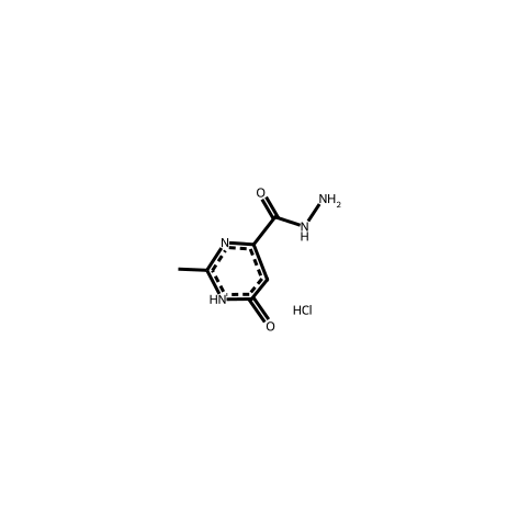 Cc1nc(C(=O)NN)cc(=O)[nH]1.Cl